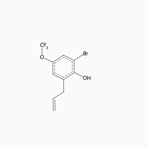 C=CCc1cc(OC(F)(F)F)cc(Br)c1O